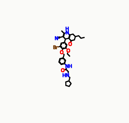 CCCC1CC(=O)C2=C(C1)NC(C)=C(C#N)C2c1cc(Br)c(OCc2cccc(NC(=O)CNCC3CCCC3)c2)c(OCC)c1